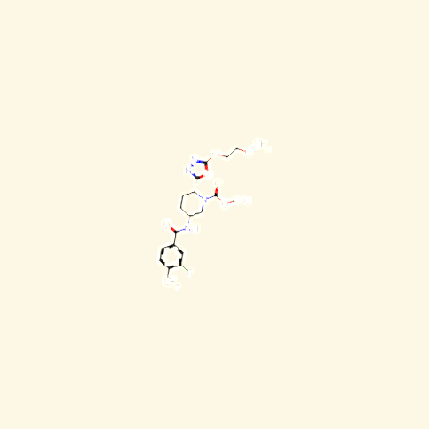 CC(C)(C)OC(=O)N1C[C@@H](NC(=O)c2ccc(C(F)(F)F)c(F)c2)CC[C@@H]1c1nnc(OCCOC(F)(F)F)o1